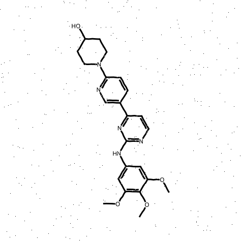 COc1cc(Nc2nccc(-c3ccc(N4CCC(O)CC4)nc3)n2)cc(OC)c1OC